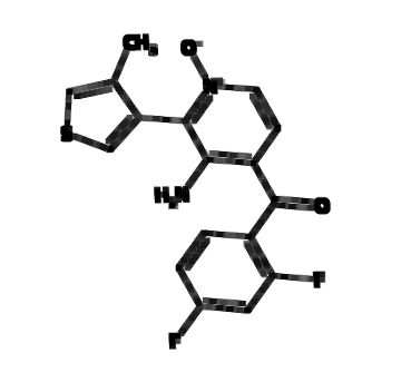 Cc1cscc1-c1c(N)c(C(=O)c2ccc(F)cc2F)cc[n+]1[O-]